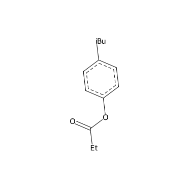 CCC(=O)Oc1ccc(C(C)CC)cc1